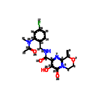 C=C1OCCn2c1nc(C(=O)NCc1ccc(F)cc1N(C)C(C)=O)c(O)c2=O